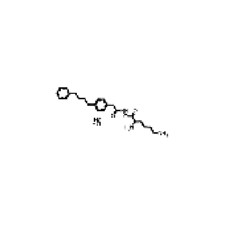 Cl.Cl.NCCCCC(N)C(=O)ONC(=O)Cc1ccc(CCCCc2ccccc2)cc1